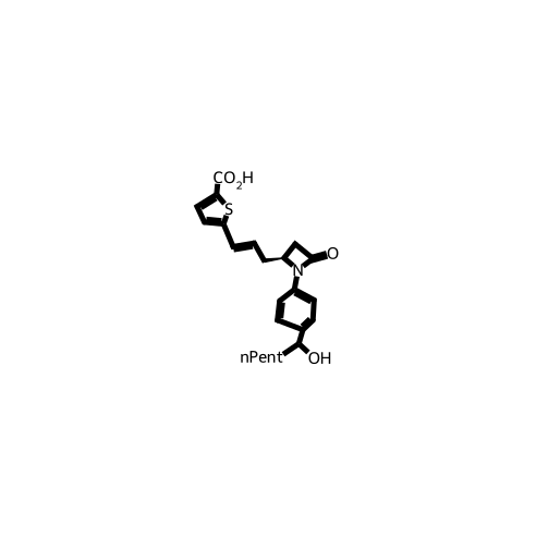 CCCCCC(O)c1ccc(N2C(=O)C[C@@H]2C/C=C/c2ccc(C(=O)O)s2)cc1